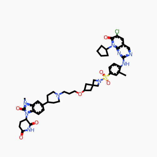 Cc1cc(S(=O)(=O)N2CC3(CC(OCCCN4CCC(c5ccc6c(c5)n(C)c(=O)n6C5CCC(=O)NC5=O)CC4)C3)C2)ccc1Nc1ncc2cc(Cl)c(=O)n(C3CCCC3)c2n1